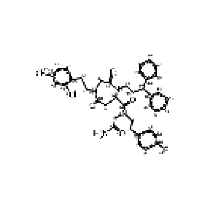 NC(=O)CN(CCc1ccc(F)cc1)C(=O)C1CC(=O)N(CCc2ccc(Cl)cc2Cl)CC(=O)N1CCC(c1ccccc1)c1ccccc1